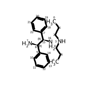 CCCNCCC.N[C@H](c1ccccc1)[C@H](N)c1ccccc1